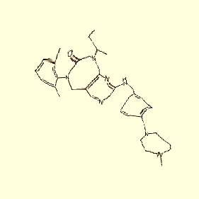 CCC(C)N1C(=O)N(c2c(C)cccc2C)Cc2cnc(Nc3ccc(N4CCN(C)CC4)cc3)nc21